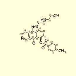 Cc1ccc(S(=O)(=O)Oc2ccc3c4c(nn3CCNCCO)-c3ccncc3C(=O)c24)cc1